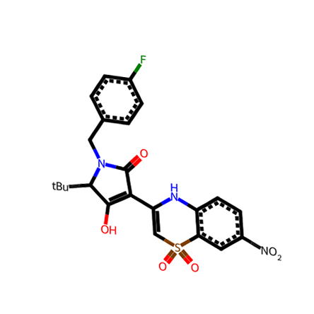 CC(C)(C)C1C(O)=C(C2=CS(=O)(=O)c3cc([N+](=O)[O-])ccc3N2)C(=O)N1Cc1ccc(F)cc1